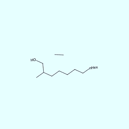 CC.CCCCCCCCCCCC(C)CO